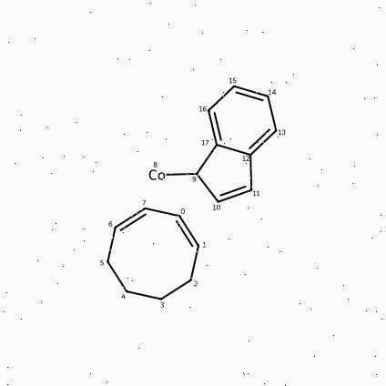 C1=C\CCCC\C=C/1.[Co][CH]1C=Cc2ccccc21